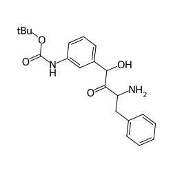 CC(C)(C)OC(=O)Nc1cccc(C(O)C(=O)C(N)Cc2ccccc2)c1